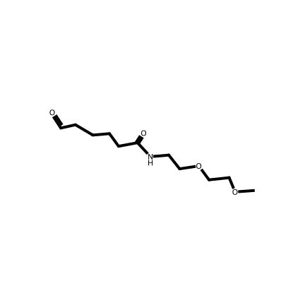 COCCOCCNC(=O)CCCCC=O